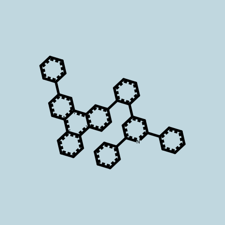 c1ccc(-c2ccc3c4ccccc4c4ccc(-c5ccccc5-c5cc(-c6ccccc6)nc(-c6ccccc6)c5)cc4c3c2)cc1